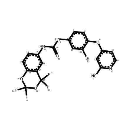 N#Cc1cc(Oc2ccc(NC(=O)Nc3ccc4c(c3)C(F)(F)OC(F)(F)O4)cc2Br)ccn1